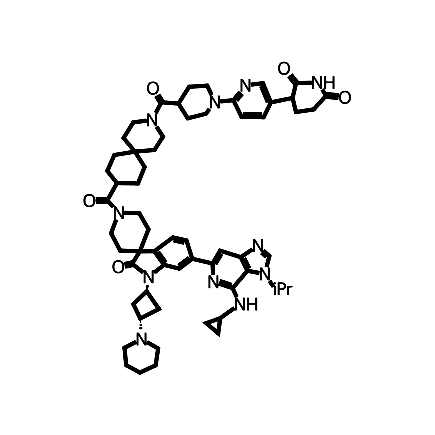 CC(C)n1cnc2cc(-c3ccc4c(c3)N([C@H]3C[C@@H](N5CCCCC5)C3)C(=O)C43CCN(C(=O)C4CCC5(CC4)CCN(C(=O)C4CCN(c6ccc(C7CCC(=O)NC7=O)cn6)CC4)CC5)CC3)nc(NC3CC3)c21